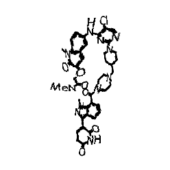 CNC(=O)COc1cc2cc(Nc3nc(N4CCC(CN5CCN(C(=O)c6cccc7c(C8CCC(=O)NC8=O)nn(C)c67)CC5)CC4)ncc3Cl)ccc2n(C)c1=O